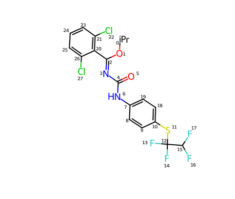 CC(C)O/C(=N\C(=O)Nc1ccc(SC(F)(F)C(F)F)cc1)c1c(Cl)cccc1Cl